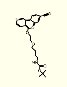 CC(C)(C)OC(=O)NCCCCOCCOc1nc2cc(C#N)ccc2c2cnccc12